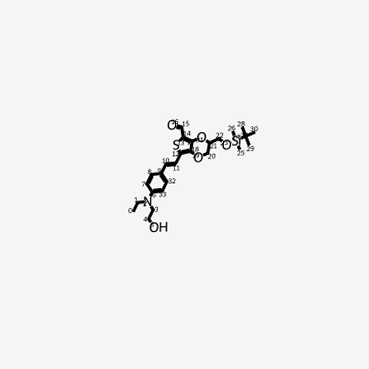 CCN(CCO)c1ccc(C=Cc2sc(C=O)c3c2OCC(CO[Si](C)(C)C(C)(C)C)O3)cc1